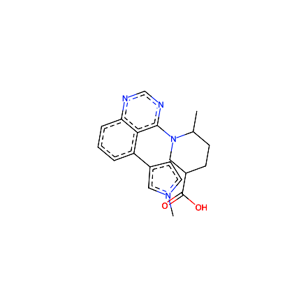 CC1CCC(C(=O)O)CN1c1ncnc2cccc(-c3ccn(C)c3)c12